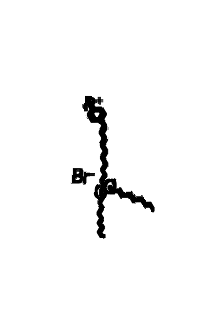 CCCCCCCCCOC(CCCCCCCCC=Cc1ccc([P+](C)(C)C)cc1)OCCCCCCCCC.[Br-]